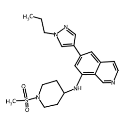 CCCn1cc(-c2cc(NC3CCN(S(C)(=O)=O)CC3)c3cnccc3c2)cn1